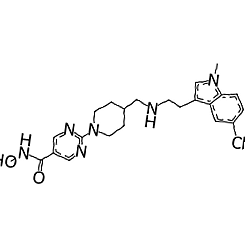 Cn1cc(CCNCC2CCN(c3ncc(C(=O)NO)cn3)CC2)c2cc(Cl)ccc21